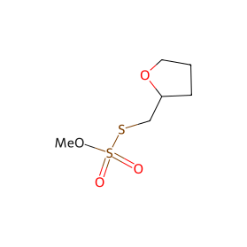 COS(=O)(=O)SCC1CCCO1